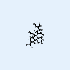 CCc1nc2c(nc1-c1ccc(C(C)C)nc1N1CCCCC1)c(C)nn2C(CC)CC